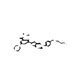 CN(C)C(=O)c1cc(-c2cc3cn(-c4ccc(CNCCCN)cc4)c(=O)nc3[nH]2)cc(N2CCNCC2)c1